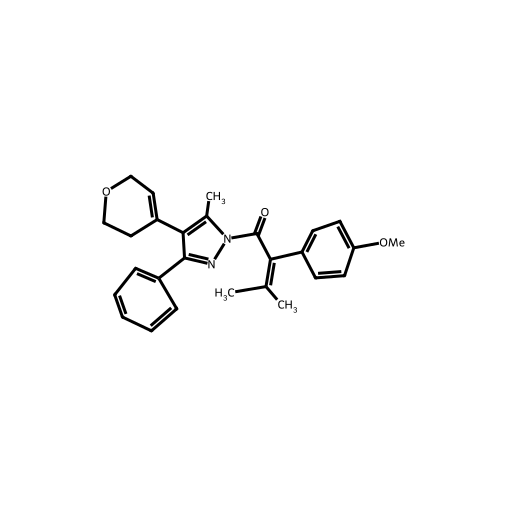 COc1ccc(C(C(=O)n2nc(-c3ccccc3)c(C3=CCOCC3)c2C)=C(C)C)cc1